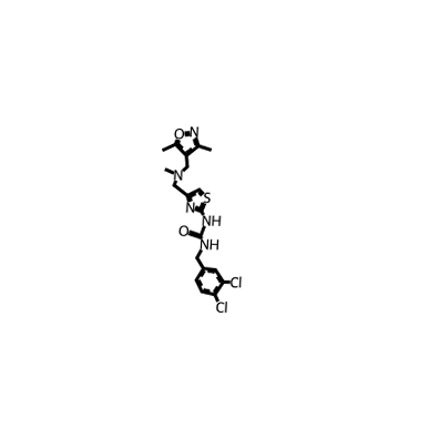 Cc1noc(C)c1CN(C)Cc1csc(NC(=O)NCc2ccc(Cl)c(Cl)c2)n1